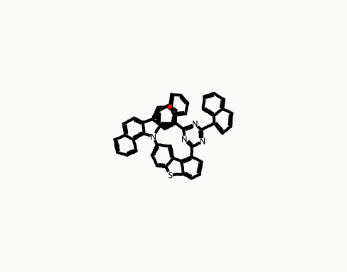 c1ccc(-c2nc(-c3cccc4ccccc34)nc(-c3cccc4sc5ccc(-n6c7cc8ccccc8cc7c7ccc8ccccc8c76)cc5c34)n2)cc1